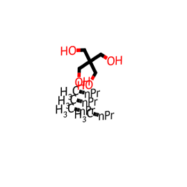 CCCC.CCCC.CCCC.CCCC.OCC(CO)(CO)CO